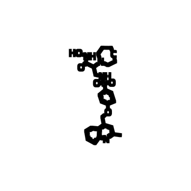 Cc1cc(COc2ccc(S(=O)(=O)NCC(C(=O)NO)N3CCCCCC3)cc2)c2ccccc2n1